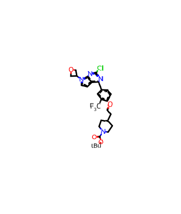 CC(C)(C)OC(=O)N1CCC(CCOc2ccc(-c3nc(Cl)nc4c3ccn4C3COC3)cc2C(F)(F)F)CC1